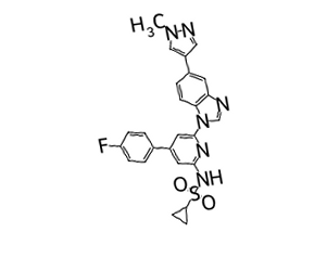 Cn1cc(-c2ccc3c(c2)ncn3-c2cc(-c3ccc(F)cc3)cc(NS(=O)(=O)C3CC3)n2)cn1